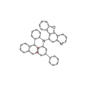 c1ccc(-c2cccc(N(c3ccccc3-c3cccc4ccccc34)c3cc4ncccc4c4oc5ccccc5c34)c2)cc1